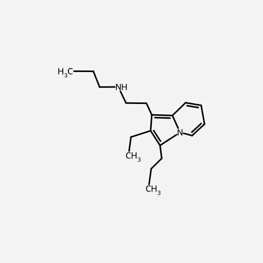 CCCNCCc1c(CC)c(CCC)n2ccccc12